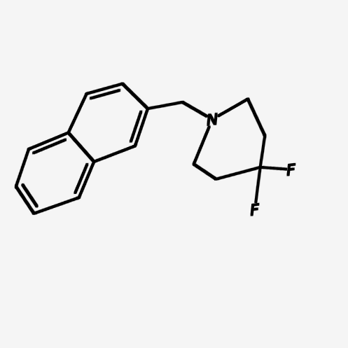 FC1(F)CCN(Cc2ccc3ccccc3c2)CC1